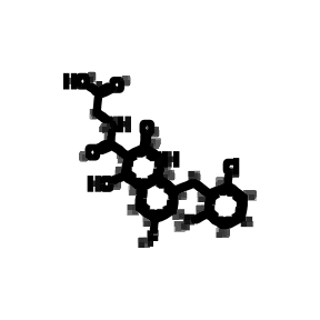 O=C(O)CNC(=O)c1c(O)c2cc(F)cc(Cc3c(F)cccc3Cl)c2[nH]c1=O